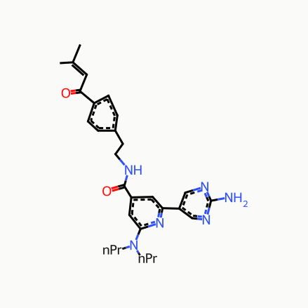 CCCN(CCC)c1cc(C(=O)NCCc2ccc(C(=O)C=C(C)C)cc2)cc(-c2cnc(N)nc2)n1